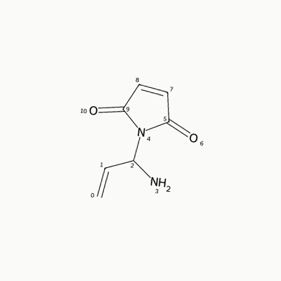 C=CC(N)N1C(=O)C=CC1=O